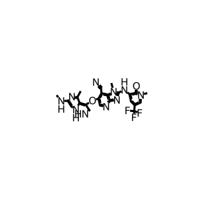 CNC1=CN/C(=C(\C=N)Oc2cnc3nc(Nc4cc(C(F)(F)F)cn(C)c4=O)n(C)c3c2C#N)C(C)=N1